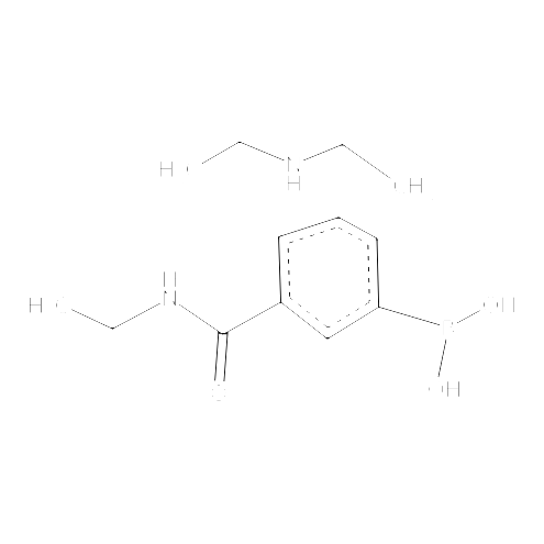 CCNC(=O)c1cccc(B(O)O)c1.CCNCC